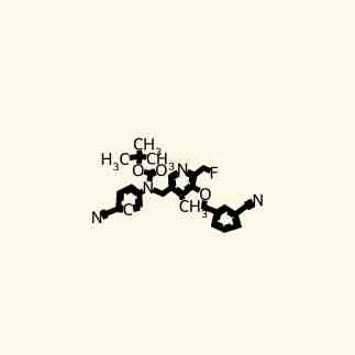 Cc1c(CN(C(=O)OC(C)(C)C)c2ccc(C#N)cc2)cnc(CF)c1OCc1cccc(C#N)c1